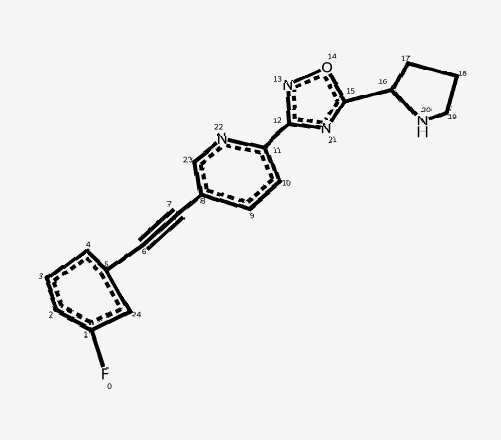 Fc1cccc(C#Cc2ccc(-c3noc(C4CCCN4)n3)nc2)c1